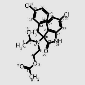 CC(=O)OCCN(C(C)C)C1(Cc2cccc(Cl)c2)C(=O)Nc2cc(Cl)ccc21